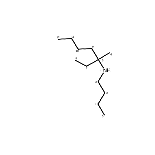 CCCCNC(C)(CC)CCCC